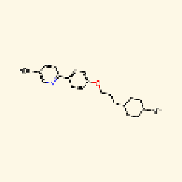 CCCCc1ccc(-c2ccc(OCCC[C@H]3CC[C@H](CCC)CC3)cc2)nc1